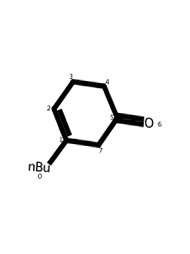 CCCCC1=CCCC(=O)C1